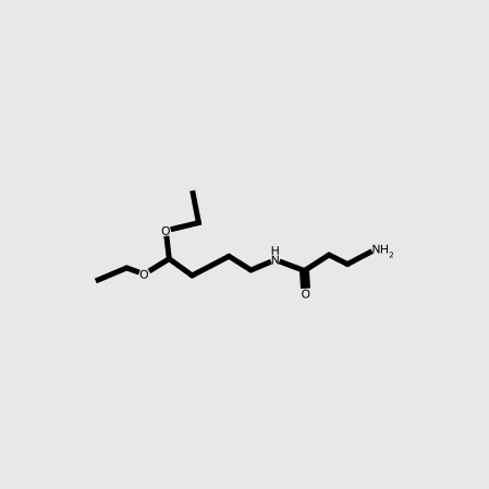 CCOC(CCCNC(=O)CCN)OCC